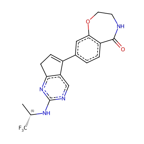 C[C@H](Nc1ncc2c(n1)CC=C2c1ccc2c(c1)OCCNC2=O)C(F)(F)F